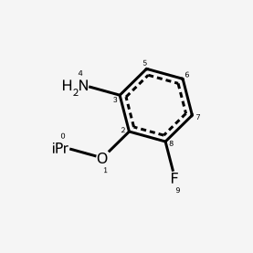 CC(C)Oc1c(N)cccc1F